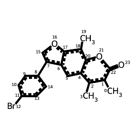 Cc1c(C)c2cc3c(-c4ccc(Br)cc4)coc3c(C)c2oc1=O